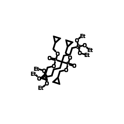 CCO[Si](CCCC(CCC[Si](OCC)(OCC)OCC)(P(=O)(OCC1CC1)OCC1CC1)P(=O)(OCC1CC1)OCC1CC1)(OCC)OCC